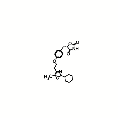 Cc1oc(C2CCCCC2)nc1CCOc1ccc(CC2OC(=O)NC2=O)cc1